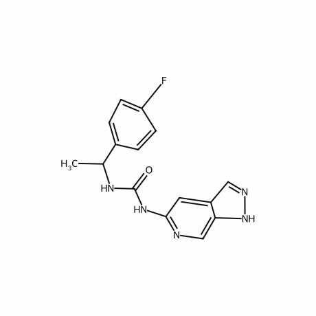 CC(NC(=O)Nc1cc2cn[nH]c2cn1)c1ccc(F)cc1